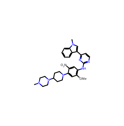 COc1cc(N2CCC(N3CCN(C)CC3)CC2)c([N+](=O)[O-])cc1Nc1nccc(-c2cn(C)c3ccccc23)n1